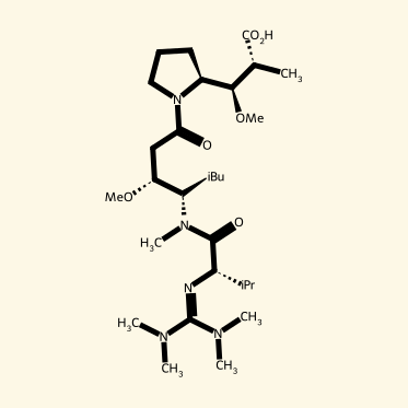 CC[C@H](C)[C@@H]([C@@H](CC(=O)N1CCC[C@H]1[C@H](OC)[C@@H](C)C(=O)O)OC)N(C)C(=O)[C@@H](N=C(N(C)C)N(C)C)C(C)C